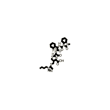 CCCCn1nncc1SCC1=C(C(=O)O)N2C(=O)C(NC(=O)C(NC(=O)n3c(=O)n(C)c4ccccc43)c3ccccc3F)[C@@H]2SC1